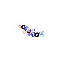 O=C1CCN[C@@H](C(=O)NCC(=O)Nc2nc3ccc(OC(F)(F)F)cc3[nH]2)C1